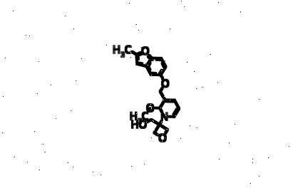 COC1C(COc2ccc3oc(C)cc3c2)=CC=CN1C1(CO)COC1